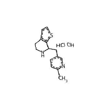 Cc1ccc(CC2NCCc3ccsc32)cn1.Cl.Cl